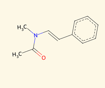 CC(=O)N(C)C=Cc1ccccc1